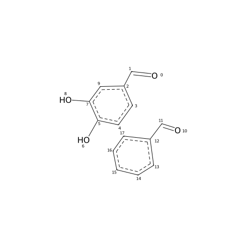 O=Cc1ccc(O)c(O)c1.O=Cc1ccccc1